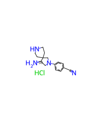 Cl.N#Cc1ccc(N2C[C@@H](N)C3(CCNCC3)C2)cc1